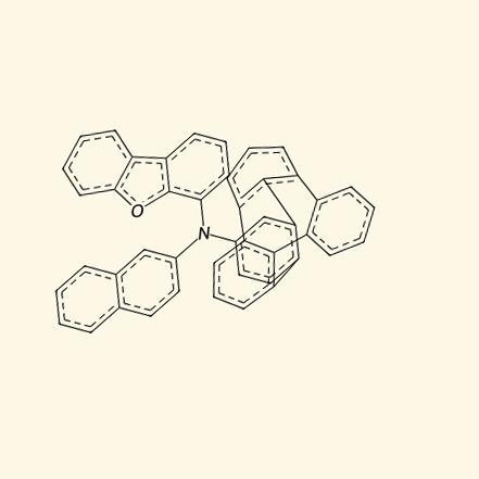 c1ccc2c(c1)-c1cccc3c1-c1cc(N(c4ccc5ccccc5c4)c4cccc5c4oc4ccccc45)ccc1-c1cccc-3c1-2